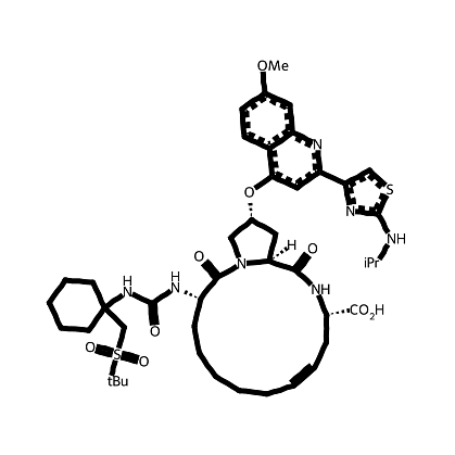 COc1ccc2c(O[C@@H]3C[C@H]4C(=O)N[C@H](C(=O)O)C/C=C\CCCCC[C@H](NC(=O)NC5(CS(=O)(=O)C(C)(C)C)CCCCC5)C(=O)N4C3)cc(-c3csc(NC(C)C)n3)nc2c1